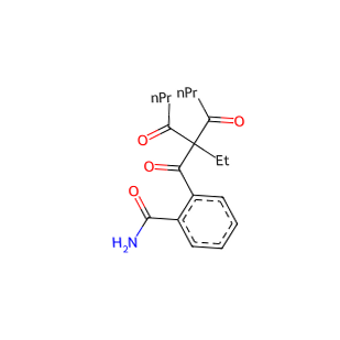 CCCC(=O)C(CC)(C(=O)CCC)C(=O)c1ccccc1C(N)=O